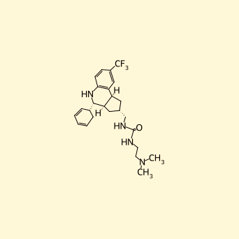 CN(C)CCNC(=O)NC[C@@H]1C[C@@H]2[C@H](C1)c1cc(C(F)(F)F)ccc1N[C@H]2C1C=CC=CC1